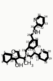 CC(C1=COC2=CC=CCC2=C1O)N(CCc1ccccn1)Cc1cccc(CNCc2ccccn2)c1